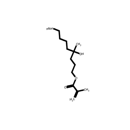 C=C(C)C(=O)OCCCC(C)(O)CCCCCCCCCCCCC